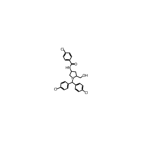 O=C(NC1CC(CO)N(C(c2ccc(Cl)cc2)c2ccc(Cl)cc2)C1)c1ccc(Cl)cc1